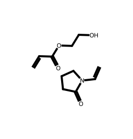 C=CC(=O)OCCO.C=CN1CCCC1=O